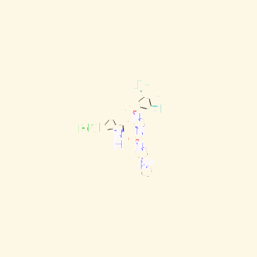 Cl.Cl.O=C(CN1CCN(C(=O)c2cc(C(F)(F)F)cc(C(F)(F)F)c2)[C@H](Cc2c[nH]c3ccccc23)C1)N1CCC([N+]2CCCCC2)CC1